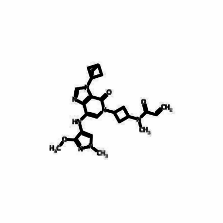 C=CC(=O)N(C)C1CC(n2cc(Nc3cn(C)nc3OC)c3ncn(C45CC(C4)C5)c3c2=O)C1